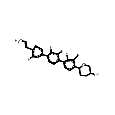 C/C=C/c1ccc(-c2ccc(-c3ccc(C4CCC(CCC)CO4)c(F)c3F)c(F)c2F)cc1F